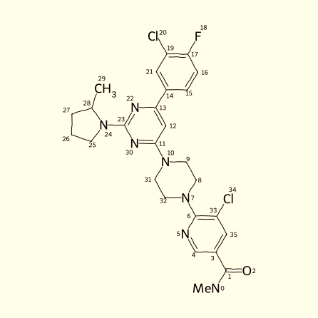 CNC(=O)c1cnc(N2CCN(c3cc(-c4ccc(F)c(Cl)c4)nc(N4CCCC4C)n3)CC2)c(Cl)c1